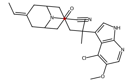 CC=C1CC2CC(C#N)CC(C1)N2C(=O)CC(C)(C)c1c[nH]c2ncc(OC)c(Cl)c12